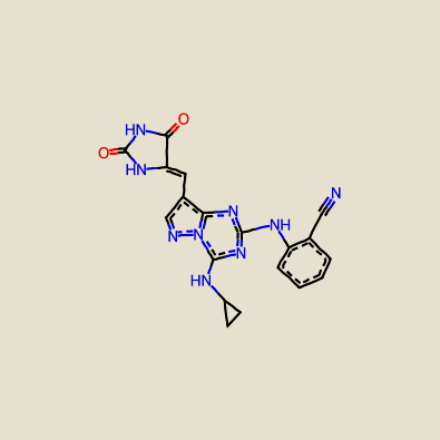 N#Cc1ccccc1Nc1nc(NC2CC2)n2ncc(/C=C3\NC(=O)NC3=O)c2n1